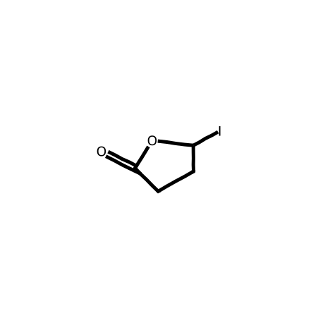 O=C1CCC(I)O1